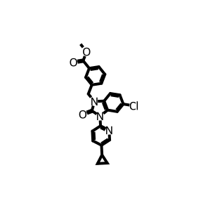 COC(=O)c1cccc(Cn2c(=O)n(-c3ccc(C4CC4)cn3)c3cc(Cl)ccc32)c1